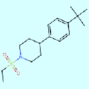 CCS(=O)(=O)N1CCC(c2ccc(C(C)(C)C)cc2)CC1